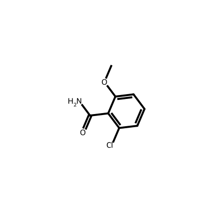 COc1cccc(Cl)c1C(N)=O